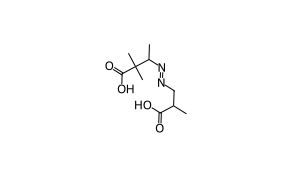 CC(CN=NC(C)C(C)(C)C(=O)O)C(=O)O